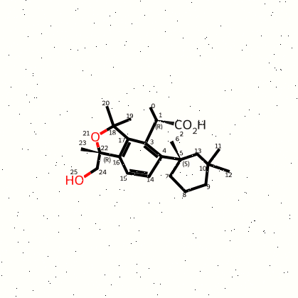 C[C@@H](C(=O)O)c1c([C@@]2(C)CCCC(C)(C)C2)ccc2c1C(C)(C)O[C@@]2(C)CO